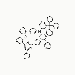 c1ccc(-c2ccc(N(c3ccc(-c4cccc5c4oc4c(-c6nc(-c7ccccc7)nc(-c7ccccc7)n6)cccc45)cc3)c3cccc4c3-c3ccccc3C4(c3ccccc3)c3ccccc3)cc2)cc1